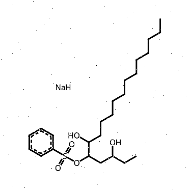 CCCCCCCCCCCCC(O)C(CC(O)CC)OS(=O)(=O)c1ccccc1.[NaH]